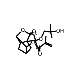 C=C(C)C(=O)OC1C2CC3C1OC(=O)C3(C(CC)(CC)OCC(C)(C)O)C2